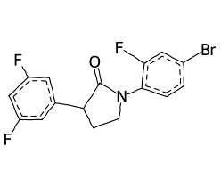 O=C1C(c2cc(F)cc(F)c2)CCN1c1ccc(Br)cc1F